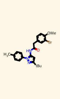 COc1ccc(CC(=O)Nc2cc(C(C)(C)C)nn2-c2ccc(C)cc2)cc1Br